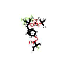 CCC(C)(F)C(=O)OC1CC2CC1CC2CC(OC(=O)OC(C)(C)C)(C(F)(F)F)C(F)(F)F